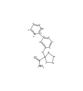 NC(=O)C1(Cc2cccc(-c3ncccn3)c2)CCCC1